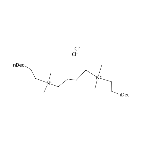 CCCCCCCCCCCC[N+](C)(C)CCCC[N+](C)(C)CCCCCCCCCCCC.[Cl-].[Cl-]